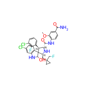 COc1cc(C(N)=O)ccc1NC(=O)[C@@H]1N[C@@H](CC2(CF)CC2)C2(c3ccc(Cl)cc3NC2O)[C@H]1c1cccc(Cl)c1F